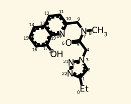 CCc1cn(CC(=O)N(C)Cc2ccc3cccc(O)c3n2)nn1